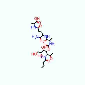 CCCC(=O)N[C@@H](C(C)=O)[C@@H](OC(=O)NC(C)C(=O)NC(CCC(=O)NC(C)C(=O)O)C(N)=O)[C@H](O)[C@H](O)CO